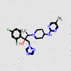 Cc1cnc(NC2CCN([C@H](C)[C@](O)(Cn3cncn3)c3ccc(F)cc3F)CC2)nc1